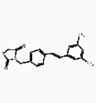 O=C1CSC(=O)N1Cc1ccc(C=Cc2cc(C(F)(F)F)cc(C(F)(F)F)c2)cc1